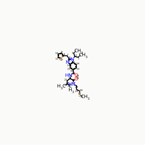 CCC(CC)n1c(Cc2cccs2)nc2cc(C(=O)NC(CC(C)C)C(=O)NCCCSC)ccc21